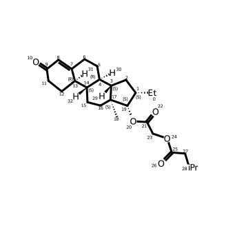 CC[C@H]1C[C@H]2[C@@H]3CCC4=CC(=O)CC[C@@H]4[C@H]3CC[C@]2(C)[C@H]1OC(=O)COC(=O)CC(C)C